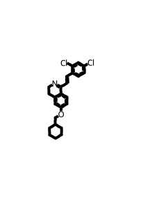 Clc1ccc(/C=C/C2=NCCc3cc(OCC4CCCCC4)ccc32)c(Cl)c1